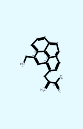 C=C(Cc1ccc2ccc3cccc4c(CO)cc1c2c34)C(=O)Cl